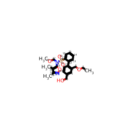 CCOCc1cc(CO)ccc1-c1ccccc1S(=O)(=O)N(COC)c1onc(C)c1C